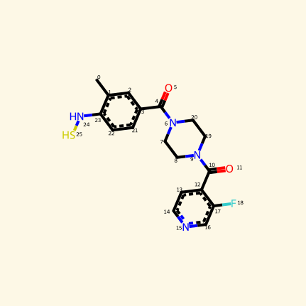 Cc1cc(C(=O)N2CCN(C(=O)c3ccncc3F)CC2)ccc1NS